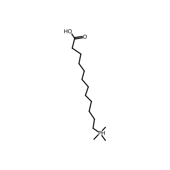 C[PH](C)(C)CCCCCCCCCCCC(=O)O